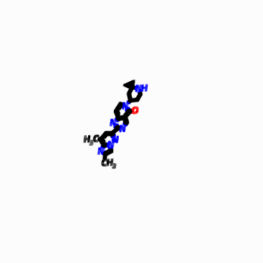 Cc1cn2nc(-c3ncc4c(=O)n(C5CCNC6(CC6)C5)ccc4n3)cc(C)c2n1